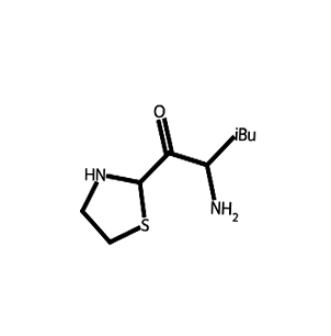 CCC(C)C(N)C(=O)C1NCCS1